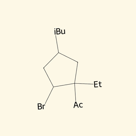 CCC(C)C1CC(Br)C(CC)(C(C)=O)C1